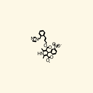 COC(=O)C1=C(C)NC(C)=C(C(=O)OC/C=C/c2ccccc2Cn2ccnc2)C1c1cccc([N+](=O)[O-])c1